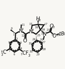 C[C@H](c1cc(C(F)(F)F)cc(C(F)(F)F)c1)N(C)C(=O)N1C[C@@H]2C[C@]2(N(C)C(=O)OC(C)(C)C)[C@@H]1c1ccccc1